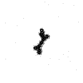 CC1(C)c2ccccc2-c2ccc3cc4c5cc(-c6ccc(-c7ccc(N(c8ccccc8)c8ccc9ccccc9c8)cc7)cc6)ccc5n(-c5ccccc5)c4cc3c21